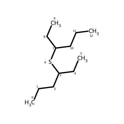 CCCC(CC)SC(CC)CCC